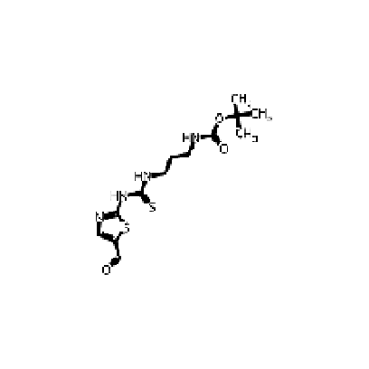 CC(C)(C)OC(=O)NCCCNC(=S)Nc1ncc(C=O)s1